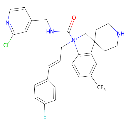 O=C(NCc1ccnc(Cl)c1)[N+]1(C/C=C/c2ccc(F)cc2)CC2(CCNCC2)c2cc(C(F)(F)F)ccc21